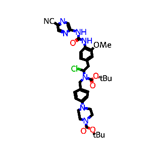 COc1cc(CC(Cl)N(Cc2ccc(N3CCN(C(=O)OC(C)(C)C)CC3)cc2)C(=O)OC(C)(C)C)ccc1NC(=O)Nc1cnc(C#N)cn1